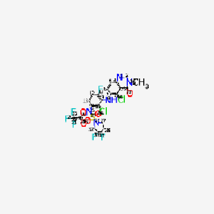 Cn1cnc2ccc(Nc3c(F)ccc(N(OC(=O)C(F)(F)F)S(=O)(=O)N4CCC(F)(F)C4)c3Cl)c(Cl)c2c1=O